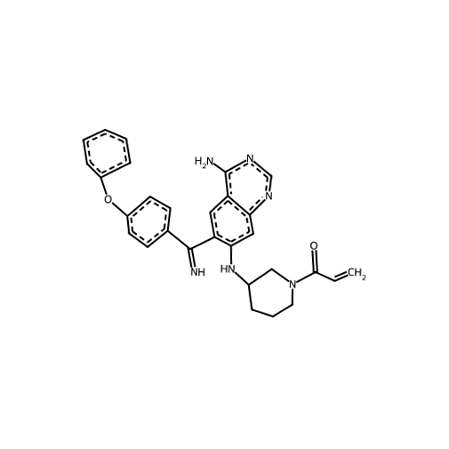 C=CC(=O)N1CCCC(Nc2cc3ncnc(N)c3cc2C(=N)c2ccc(Oc3ccccc3)cc2)C1